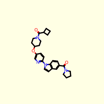 O=C(c1ccc2c(ccn2-c2ccc(OC3CCN(C(=O)C4CCC4)CC3)cn2)c1)N1CCCC1